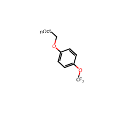 [CH2]CCCCCCCCOc1ccc(OC(F)(F)F)cc1